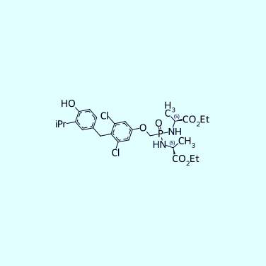 CCOC(=O)[C@H](C)NP(=O)(COc1cc(Cl)c(Cc2ccc(O)c(C(C)C)c2)c(Cl)c1)N[C@@H](C)C(=O)OCC